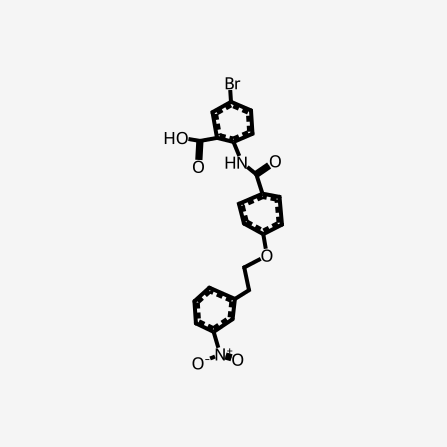 O=C(Nc1ccc(Br)cc1C(=O)O)c1ccc(OCCc2cccc([N+](=O)[O-])c2)cc1